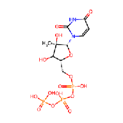 C[C@@]1(O)C(O)[C@@H](COP(=O)(O)OP(=O)(O)OP(=O)(O)O)O[C@H]1n1ccc(=O)[nH]c1=O